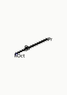 CCCCCCCC/C=C\CCCCCCCCOC(=O)OCCCCCCCCCCCCCCCCCC(C)C